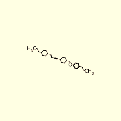 CCCc1ccc(OC[C@H]2CC[C@H](C#C/C=C/[C@H]3CC[C@H](CCC)CC3)CC2)cc1